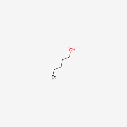 C[CH]CCCCO